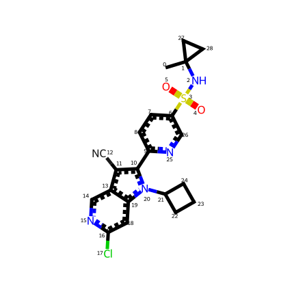 CC1(NS(=O)(=O)c2ccc(-c3c(C#N)c4cnc(Cl)cc4n3C3CCC3)nc2)CC1